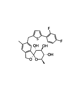 Cc1cc2c(cc1Cc1ccc(-c3ccc(F)cc3F)s1)[C@]1(OC2)O[C@H](C)[C@@H](O)[C@H](O)[C@H]1O